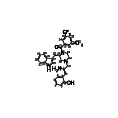 NC(=Cc1ccccc1O)CN1CCN(C(=O)c2cc(C(F)(F)F)cc(C(F)(F)F)c2)[C@H](Cc2c[nH]c3ccccc23)C1